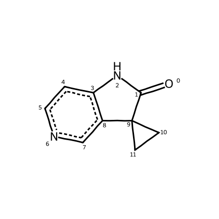 O=C1Nc2ccncc2C12CC2